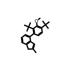 COc1c(C(C)(C)C)ccc(-c2cccc3c2C=C(C)C3)c1C(C)(C)C